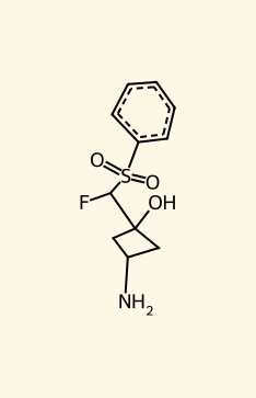 NC1CC(O)(C(F)S(=O)(=O)c2ccccc2)C1